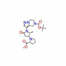 COC(=O)[C@@H]1CCCN1C1CC(=O)N(c2cnn3c2CN(C(=O)OC(C)(C)C)[C@@H](C)C3)[C@H]1C